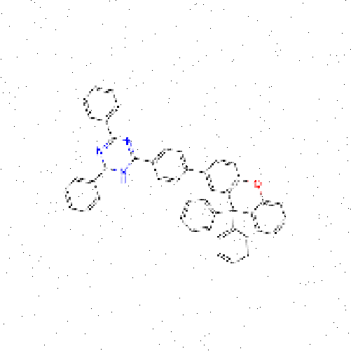 c1ccc(C2=NC(c3ccccc3)NC(c3ccc(-c4ccc5c(c4)C(c4ccccc4)(c4ccccc4)c4ccccc4O5)cc3)=N2)cc1